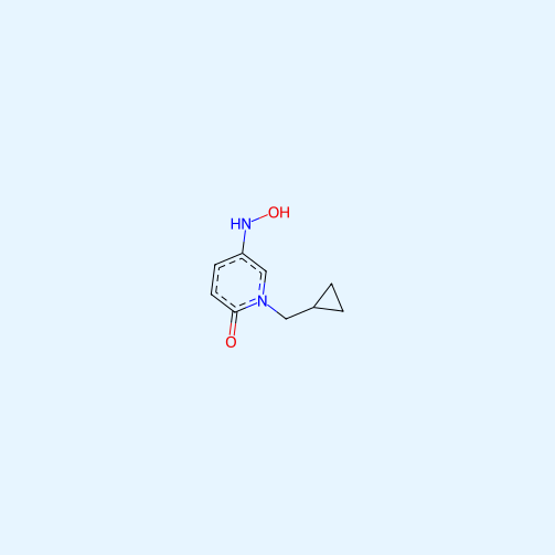 O=c1ccc(NO)cn1CC1CC1